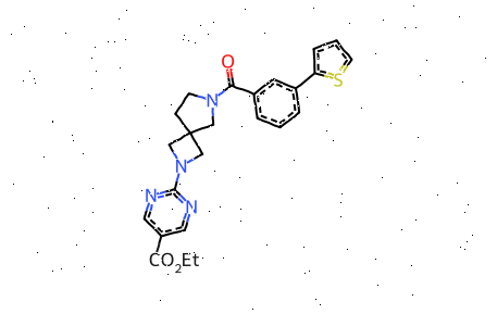 CCOC(=O)c1cnc(N2CC3(CCN(C(=O)c4cccc(-c5cccs5)c4)C3)C2)nc1